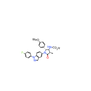 COc1ccc([C@@H]2[C@@H](NC(=O)O)[C@@H](C)C(=O)N2c2ccc3c(cnn3-c3ccc(F)cc3)c2)cc1